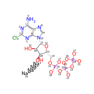 Nc1nc(Cl)nc2c1ncn2[C@@H]1O[C@H](COP(=O)([O-])OP(=O)([O-])OP(=O)([O-])[O-])[C@@H](O)[C@H]1O.[Na+].[Na+].[Na+].[Na+]